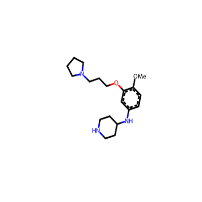 COc1ccc(NC2CCNCC2)cc1OCCCN1CCCC1